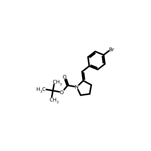 CC(C)(C)OC(=O)N1CCCC1=Cc1ccc(Br)cc1